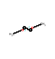 CCCCCCCCOc1cccc(/C=C/c2cccc(OCCCCCCCC)c2F)c1F